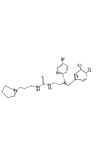 S=C(NCCCN1CCCC1)NCCN(Cc1ccc(Cl)c(Cl)c1)c1ccc(Br)cn1